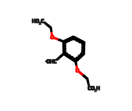 O=[C]c1c(OCC(=O)O)cccc1OCC(=O)O